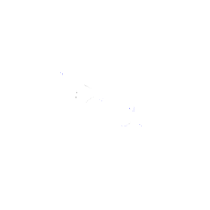 NCc1ccc(N2CCC(NC3=NCCCN3)CC2)cc1